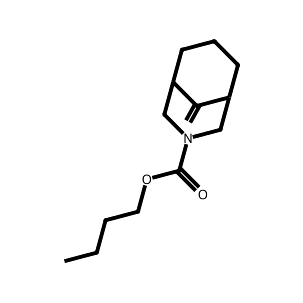 C=C1C2CCCC1CN(C(=O)OCCCC)C2